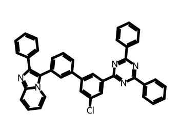 Clc1cc(-c2cccc(-c3c(-c4ccccc4)nc4ccccn34)c2)cc(-c2nc(-c3ccccc3)nc(-c3ccccc3)n2)c1